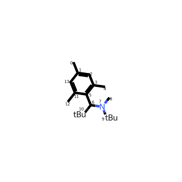 Cc1cc(C)c(C(N(C)C(C)(C)C)C(C)(C)C)c(C)c1